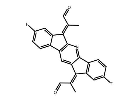 C/C(C=O)=C1\c2cc(F)ccc2-c2nc3c(cc21)-c1ccc(F)cc1/C3=C(/C)C=O